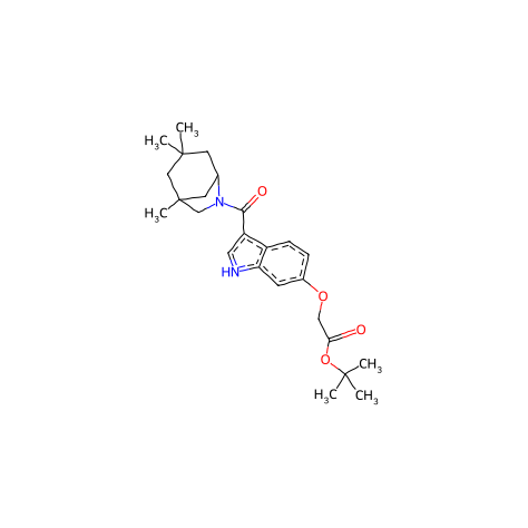 CC1(C)CC2CC(C)(CN2C(=O)c2c[nH]c3cc(OCC(=O)OC(C)(C)C)ccc23)C1